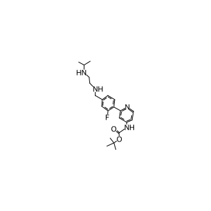 CC(C)NCCNCc1ccc(-c2cc(NC(=O)OC(C)(C)C)ccn2)c(F)c1